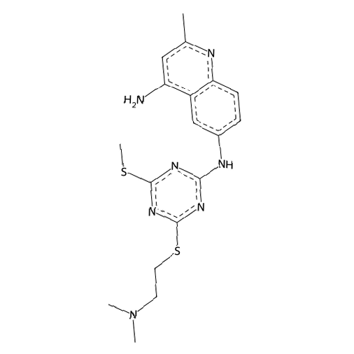 CSc1nc(Nc2ccc3nc(C)cc(N)c3c2)nc(SCCN(C)C)n1